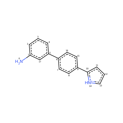 Nc1cccc(-c2ccc(-c3ccc[nH]3)cc2)c1